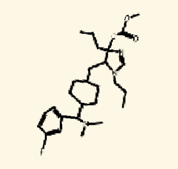 CCCN1C=NC(CCC)(OC(=O)OC)C1CC1CCC(C(c2cccc(F)c2)N(C)C)CC1